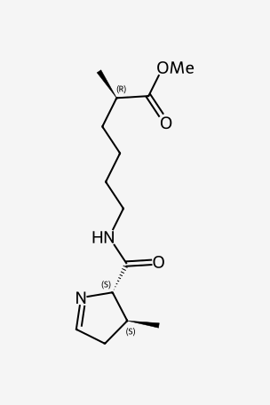 COC(=O)[C@H](C)CCCCNC(=O)[C@H]1N=CC[C@@H]1C